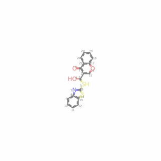 O=c1c(C(O)=[SH]c2nc3ccccc3s2)coc2ccccc12